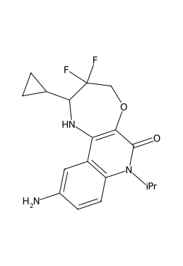 CC(C)n1c(=O)c2c(c3cc(N)ccc31)NC(C1CC1)C(F)(F)CO2